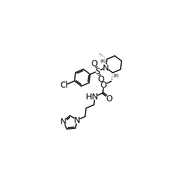 C[C@@H]1CCC[C@H](COC(=O)NCCCn2ccnc2)N1S(=O)(=O)c1ccc(Cl)cc1